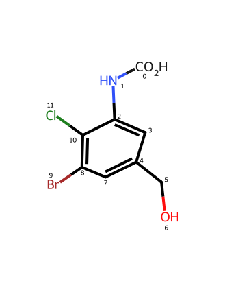 O=C(O)Nc1cc(CO)cc(Br)c1Cl